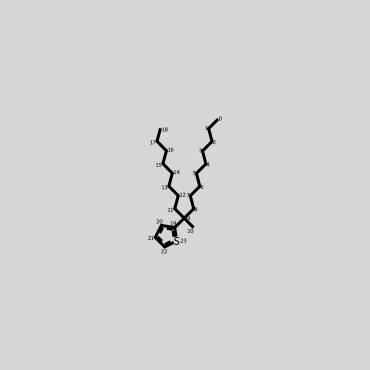 CCCCCCCCCC(C)(CCCCCCCC)c1cccs1